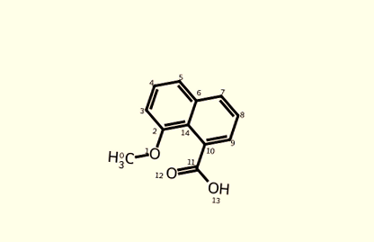 COc1cccc2cccc(C(=O)O)c12